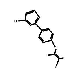 Oc1cccc(-c2ccc(OC(F)=C(F)F)cc2)c1